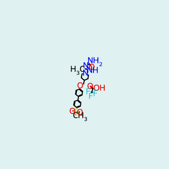 CC1(N2CCC(COc3ccc(-c4ccc(S(C)(=O)=O)cc4)cc3)CC2)N=C(N)ON1.O=C(O)C(F)(F)F